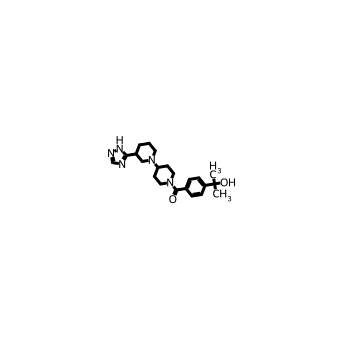 CC(C)(O)c1ccc(C(=O)N2CCC(N3CCCC(c4ncn[nH]4)C3)CC2)cc1